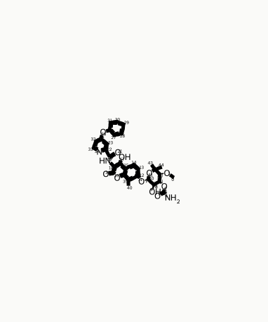 CO[C@@H]1[C@@H](OC(N)=O)[C@@H](O)[C@H](Oc2ccc3c(O)c(NC(=O)c4cc(Oc5ccccc5)ccn4)c(=O)oc3c2C)OC1(C)C